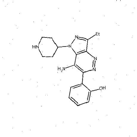 CCc1nn(C2CCNCC2)c2c(N)c(-c3ccccc3O)nnc12